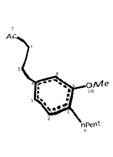 CCCCCc1ccc(CCC(C)=O)cc1OC